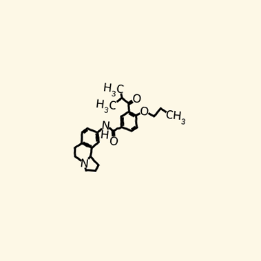 CCCOc1ccc(C(=O)Nc2ccc3c(c2)C2CCCN2CC3)cc1C(=O)C(C)C